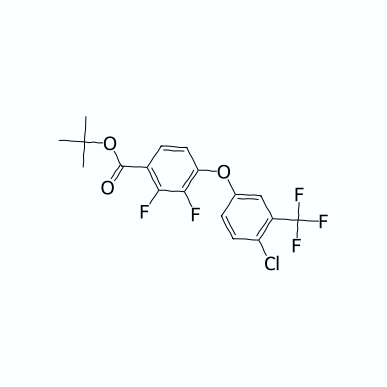 CC(C)(C)OC(=O)c1ccc(Oc2ccc(Cl)c(C(F)(F)F)c2)c(F)c1F